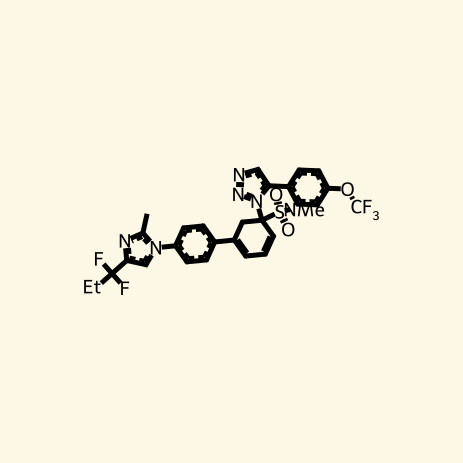 CCC(F)(F)c1cn(-c2ccc(C3=CC=CC(n4nncc4-c4ccc(OC(F)(F)F)cc4)(S(=O)(=O)NC)C3)cc2)c(C)n1